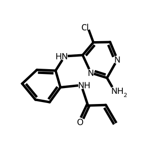 C=CC(=O)Nc1ccccc1Nc1nc(N)ncc1Cl